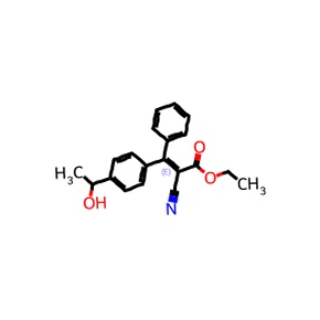 CCOC(=O)/C(C#N)=C(\c1ccccc1)c1ccc(C(C)O)cc1